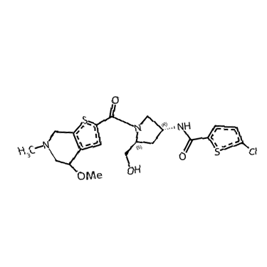 COC1CN(C)Cc2sc(C(=O)N3C[C@H](NC(=O)c4ccc(Cl)s4)C[C@H]3CO)cc21